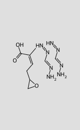 CC(=CCC1CO1)C(=O)O.N=NC=NN.N=NC=NN